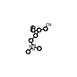 N#Cc1cccc(-c2ccc3c(c2)-c2ccc(-c4cccc(-c5nc(-c6ccccc6)nc(-c6ccccc6)n5)c4)cc2C32C3CC4CC(C3)CC2C4)c1